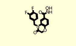 O=C(NO)c1ccc2c(c1)N(Cc1ccc(F)c(F)c1)C(=O)CO2